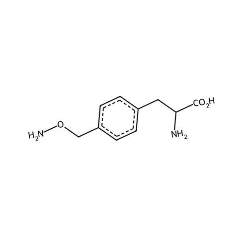 NOCc1ccc(CC(N)C(=O)O)cc1